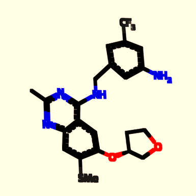 CSc1cc2nc(C)nc(NCc3cc(N)cc(C(F)(F)F)c3)c2cc1O[C@H]1CCOC1